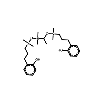 CC(O[Si](C)(C)CCCc1ccccc1O)[Si](C)(C)O[Si](C)(C)CCCc1ccccc1O